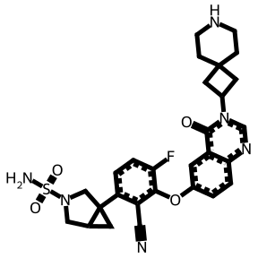 N#Cc1c(C23CC2CN(S(N)(=O)=O)C3)ccc(F)c1Oc1ccc2ncn(C3CC4(CCNCC4)C3)c(=O)c2c1